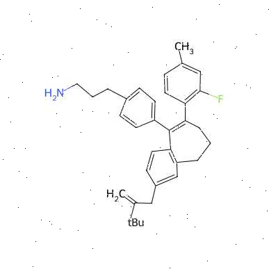 C=C(Cc1ccc2c(c1)CCCC(c1ccc(C)cc1F)=C2c1ccc(CCCN)cc1)C(C)(C)C